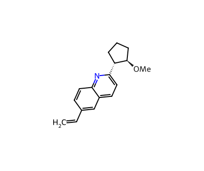 C=Cc1ccc2nc([C@@H]3CCC[C@H]3OC)ccc2c1